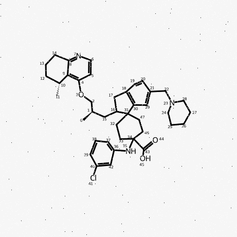 C[C@@H](COc1ccnc2c1[C@H](C)CCC2)CC1Cc2ccc(CN3CCCCC3)cc2C12CCC(Nc1cccc(Cl)c1)(C(=O)O)CC2